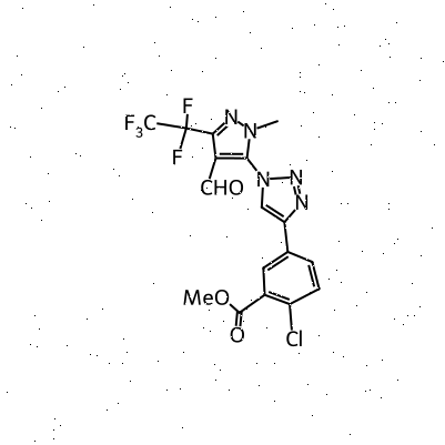 COC(=O)c1cc(-c2cn(-c3c(C=O)c(C(F)(F)C(F)(F)F)nn3C)nn2)ccc1Cl